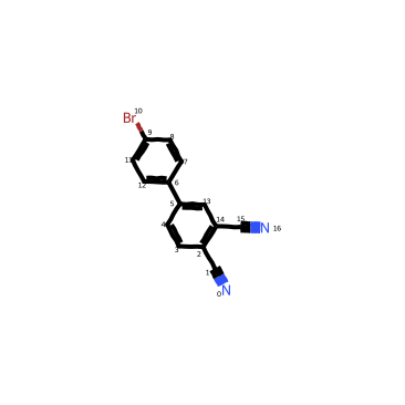 N#Cc1ccc(-c2ccc(Br)cc2)cc1C#N